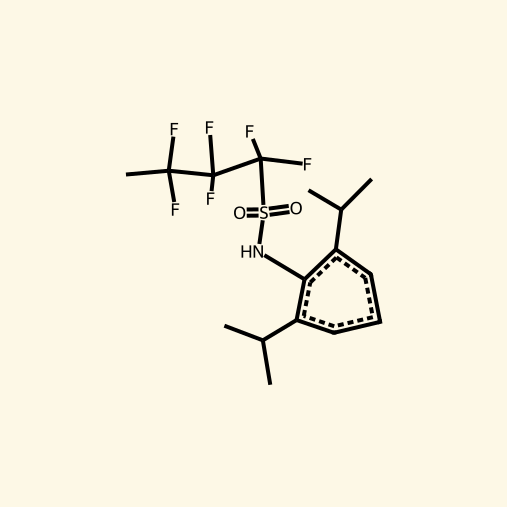 CC(C)c1cccc(C(C)C)c1NS(=O)(=O)C(F)(F)C(F)(F)C(C)(F)F